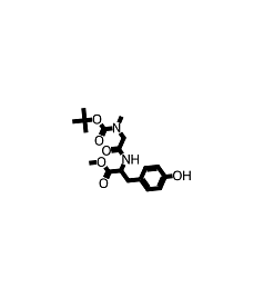 COC(=O)C(Cc1ccc(O)cc1)NC(=O)CN(C)C(=O)OC(C)(C)C